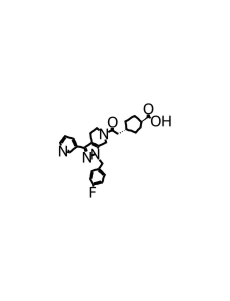 O=C(C[C@H]1CC[C@H](C(=O)O)CC1)N1CCc2c(-c3cccnc3)nn(Cc3ccc(F)cc3)c2C1